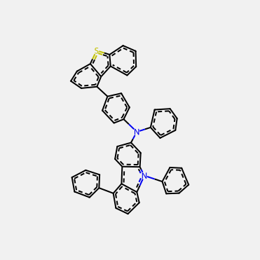 c1ccc(-c2cccc3c2c2ccc(N(c4ccccc4)c4ccc(-c5cccc6sc7ccccc7c56)cc4)cc2n3-c2ccccc2)cc1